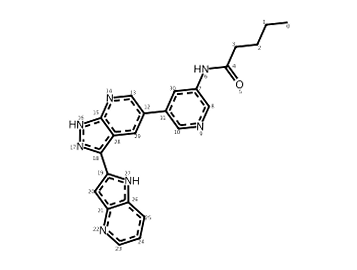 CCCCC(=O)Nc1cncc(-c2cnc3[nH]nc(-c4cc5ncccc5[nH]4)c3c2)c1